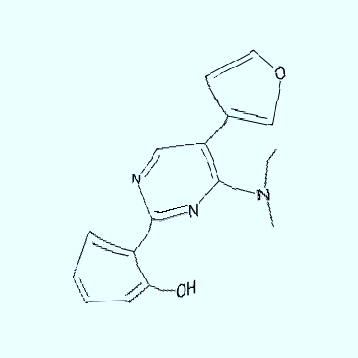 CN(C)c1nc(-c2ccccc2O)ncc1-c1ccoc1